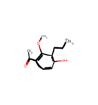 CCCc1c(O)ccc(C(C)=O)c1OC